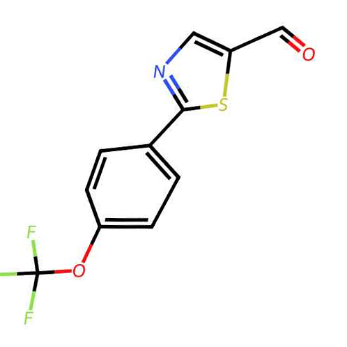 O=Cc1cnc(-c2ccc(OC(F)(F)F)cc2)s1